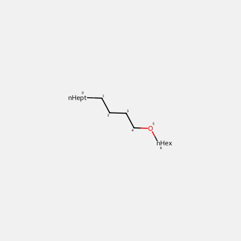 [CH2]CCCCCCCCCCOCCCCCC